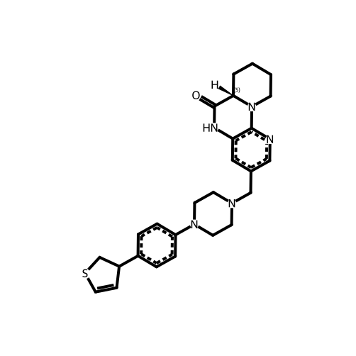 O=C1Nc2cc(CN3CCN(c4ccc(C5C=CSC5)cc4)CC3)cnc2N2CCCC[C@@H]12